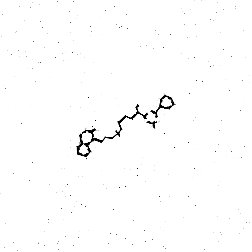 C=C/C(=C\C=C/CC(C)(C)CC/C=c1\c(=C)ccc2ccccc12)c1nc(C)nc(-c2ccccc2)n1